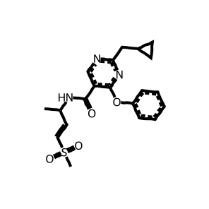 CC(C=CS(C)(=O)=O)NC(=O)c1cnc(CC2CC2)nc1Oc1ccccc1